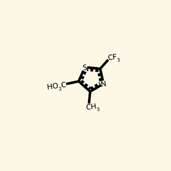 Cc1nc(C(F)(F)F)sc1C(=O)O